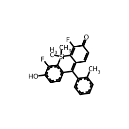 Cc1ccccc1C1=C2C=CC(=O)C(F)=C2[Si](C)(C)c2c1ccc(O)c2F